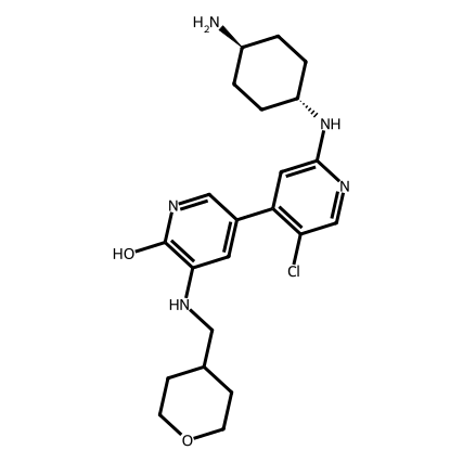 N[C@H]1CC[C@H](Nc2cc(-c3cnc(O)c(NCC4CCOCC4)c3)c(Cl)cn2)CC1